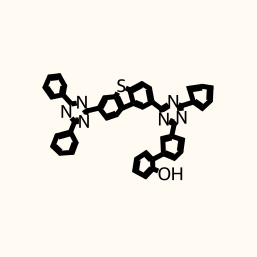 Oc1ccccc1-c1cccc(-c2nc(-c3ccccc3)nc(-c3ccc4sc5cc(-c6nc(-c7ccccc7)nc(-c7ccccc7)n6)ccc5c4c3)n2)c1